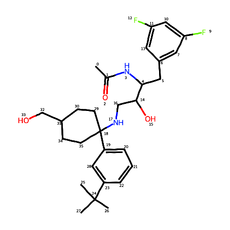 CC(=O)NC(Cc1cc(F)cc(F)c1)C(O)CNC1(c2cccc(C(C)(C)C)c2)CCC(CO)CC1